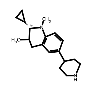 CC1Cc2cc(C3CCNCC3)ccc2N(C)[C@H]1C1CC1